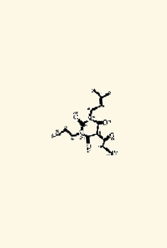 CC(C)=CCN1C(=O)C(C(=O)CC(C)C)C(=O)N(CCC(C)C)C1=O